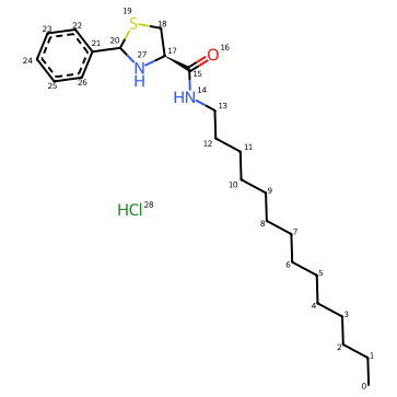 CCCCCCCCCCCCCCNC(=O)[C@@H]1CSC(c2ccccc2)N1.Cl